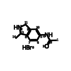 Br.CC(=O)Nc1ccc2c(c1)CNC2C